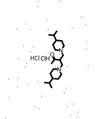 CC(=O)C(CN1CCC(C(C)C)CC1)CN1CCC(C(C)C)CC1.Cl.Cl